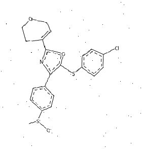 C[S+]([O-])c1ccc(-c2nc(C3=CCOCC3)oc2Sc2ccc(Cl)cc2)cc1